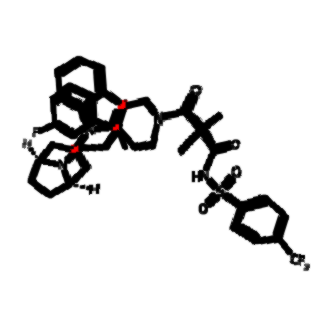 Cc1nc2ccccc2n1C1C[C@H]2CC[C@@H](C1)N2CCC1(c2cccc(F)c2)CCN(C(=O)C(C)(C)C(=O)NS(=O)(=O)c2ccc(C(F)(F)F)cc2)CC1